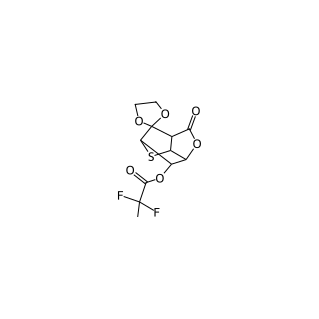 CC(F)(F)C(=O)OC1C2OC(=O)C3C2SC1C31OCCO1